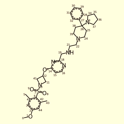 COc1cc(C)c(S(=O)(=O)N2CC(Oc3ccnc(CNCCN4CCC(c5ccccc5)(N5CCCC5)CC4)n3)C2)c(C)c1